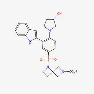 O=C(O)N1CC2(CCN2S(=O)(=O)c2ccc(N3CC[C@H](O)C3)c(-c3cc4ccccc4[nH]3)c2)C1